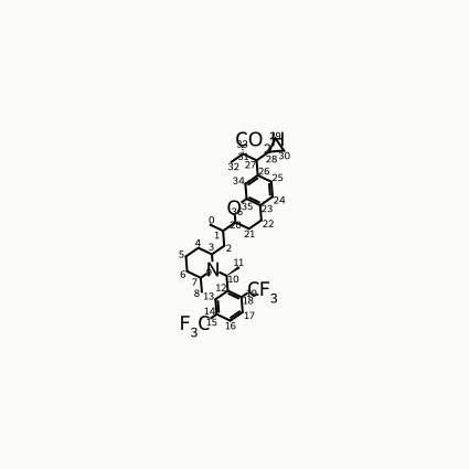 CC(CC1CCCC(C)N1[C@@H](C)c1cc(C(F)(F)F)ccc1C(F)(F)F)C1CCc2ccc(C(C3CC3)[C@H](C)C(=O)O)cc2O1